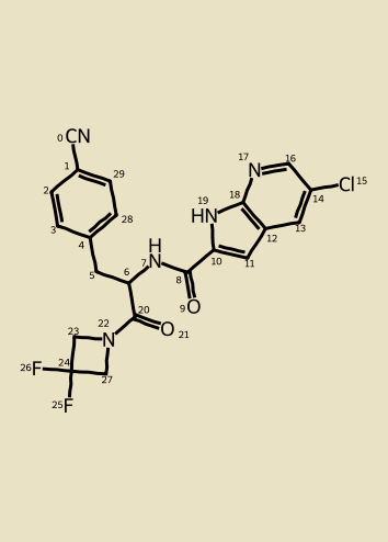 N#Cc1ccc(CC(NC(=O)c2cc3cc(Cl)cnc3[nH]2)C(=O)N2CC(F)(F)C2)cc1